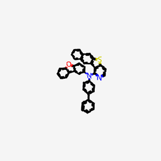 c1ccc(-c2ccc(N(c3ccc4oc5ccccc5c4c3)c3nccc4sc5cc6ccccc6cc5c34)cc2)cc1